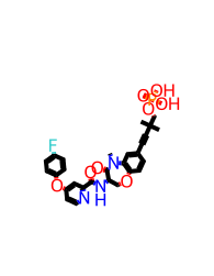 CN1C(=O)C(NC(=O)c2cc(Oc3ccc(F)cc3)ccn2)COc2ccc(C#CC(C)(C)COP(=O)(O)O)cc21